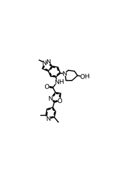 Cc1cc(-c2nc(C(=O)Nc3cc4cn(C)nc4cc3N3CCC(O)CC3)co2)cc(C)n1